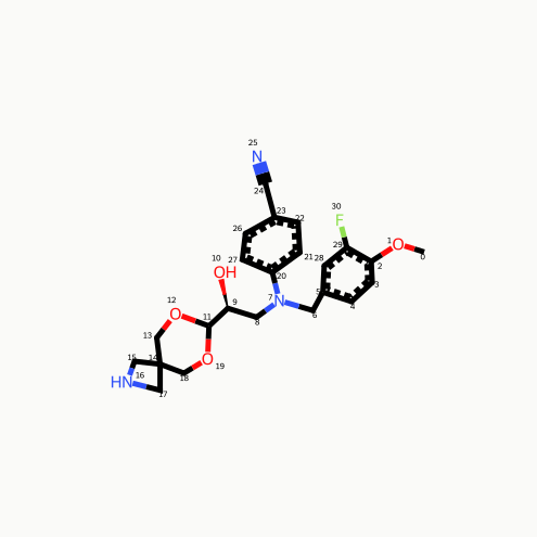 COc1ccc(CN(C[C@H](O)C2OCC3(CNC3)CO2)c2ccc(C#N)cc2)cc1F